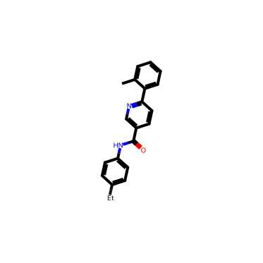 CCc1ccc(NC(=O)c2ccc(-c3ccccc3C)nc2)cc1